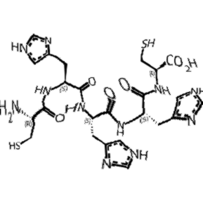 N[C@@H](CS)C(=O)N[C@@H](Cc1c[nH]cn1)C(=O)N[C@@H](Cc1c[nH]cn1)C(=O)N[C@@H](Cc1c[nH]cn1)C(=O)N[C@@H](CS)C(=O)O